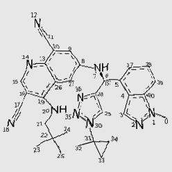 Cn1ncc2c([C@H](Nc3cc(C#N)c4ncc(C#N)c(NCC(C)(C)C)c4c3)c3cn(C4(C)CC4)nn3)cccc21